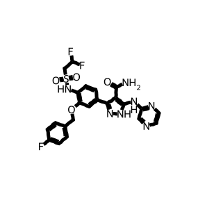 NC(=O)c1c(-c2ccc(NS(=O)(=O)CC(F)F)c(OCc3ccc(F)cc3)c2)n[nH]c1Nc1cnccn1